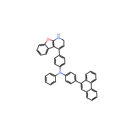 C1=C(c2ccc(N(c3ccccc3)c3ccc(-c4cc5ccccc5c5ccccc45)cc3)cc2)c2c(oc3ccccc23)NC1